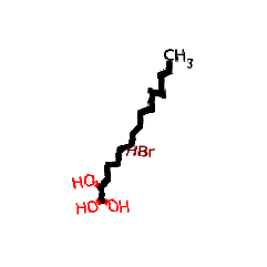 Br.CCCCCCCCCCCCCCC(O)C(O)O